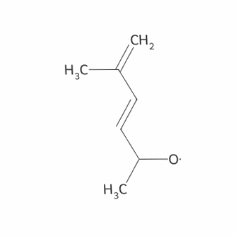 C=C(C)C=CC(C)[O]